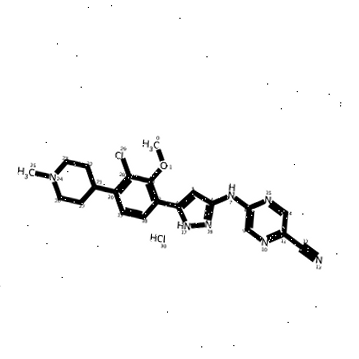 COc1c(-c2cc(Nc3cnc(C#N)cn3)n[nH]2)ccc(C2CCN(C)CC2)c1Cl.Cl